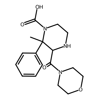 CC1(c2ccccc2)C(C(=O)N2CCOCC2)NCCN1C(=O)O